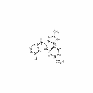 Cc1cn2c(Nc3cccc(I)c3)nc3cc(C(=O)O)ccc3c2n1